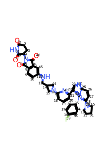 O=C1CCC(N2C(=O)c3ccc(NCC4CN(c5cccc(-c6cnc7ccc(N8CCC[C@@H]8c8cccc(F)c8)nn67)n5)C4)cc3C2=O)C(=O)N1